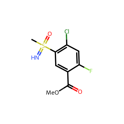 COC(=O)c1cc(S(C)(=N)=O)c(Cl)cc1F